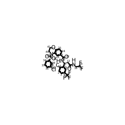 Cc1ccc(C(F)(F)F)cc1[C@H](CC(=O)NCC(F)F)NC(=O)c1ccc2c(c1)N(S(=O)(=O)c1cccc(Cl)c1)CCO2